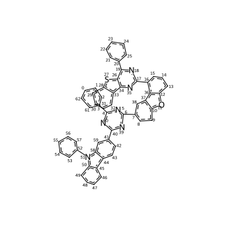 c1ccc(-c2nc(-c3ccc4oc5cccc(-c6nc(-c7ccccc7)c7sc8ccccc8c7n6)c5c4c3)nc(-c3ccc4c5ccccc5n(-c5ccccc5)c4c3)n2)cc1